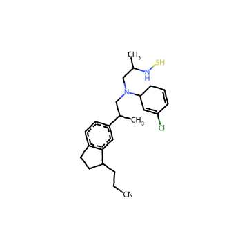 CC(CN(CC(C)c1ccc2c(c1)C(CCC#N)CC2)C1C=C(Cl)C=CC1)NS